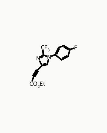 CCOC(=O)C#Cc1cn(-c2ccc(F)cc2)c(C(F)(F)F)n1